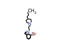 CCCCC1CCN(CCCn2ccc3cccc(Br)c32)CC1